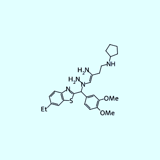 CCc1ccc2nc(C(c3ccc(OC)c(OC)c3)N(N)/C=C(\N)CCNC3CCCC3)sc2c1